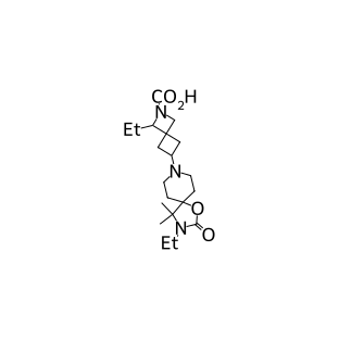 CCC1N(C(=O)O)CC12CC(N1CCC3(CC1)OC(=O)N(CC)C3(C)C)C2